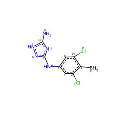 Bc1c(Cl)cc(Nc2n[nH]c(N)n2)cc1Cl